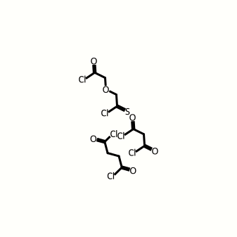 O=C(Cl)CC(=O)Cl.O=C(Cl)CCC(=O)Cl.O=C(Cl)COCC(=S)Cl